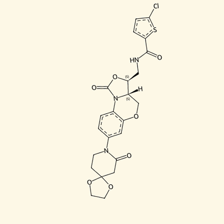 O=C(NC[C@@H]1OC(=O)N2c3ccc(N4CCC5(CC4=O)OCCO5)cc3OC[C@@H]12)c1ccc(Cl)s1